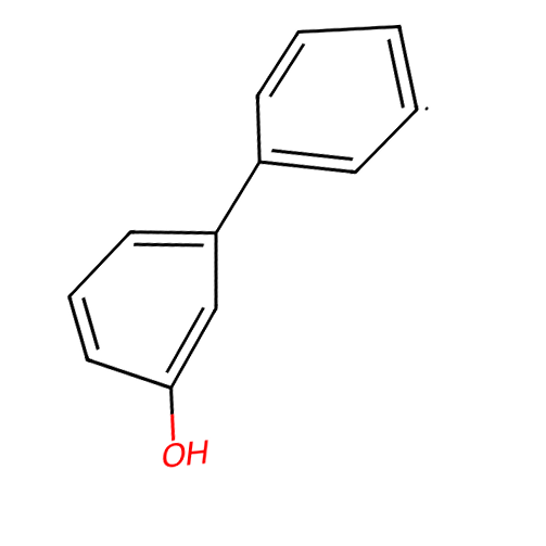 Oc1cccc(-c2c[c]ccc2)c1